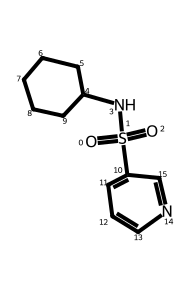 O=S(=O)(NC1CCCCC1)c1cccnc1